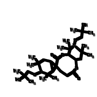 CC(C)(O)CON1C(C)(C)CC2OC(=O)CCC3(C(=O)OC2C1(C)C)C1CC(C)(C)N(OCC(C)(C)O)C(C)(C)C13